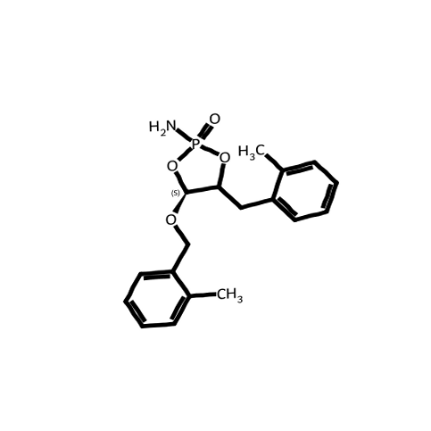 Cc1ccccc1CO[C@H]1OP(N)(=O)OC1Cc1ccccc1C